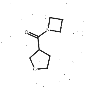 O=C(C1CCOC1)N1C[CH]C1